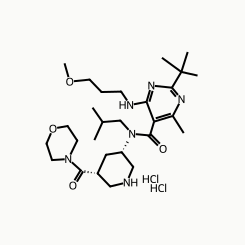 COCCCNc1nc(C(C)(C)C)nc(C)c1C(=O)N(CC(C)C)[C@@H]1CNC[C@H](C(=O)N2CCOCC2)C1.Cl.Cl